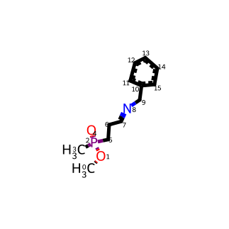 COP(C)(=O)CCC=NCc1ccccc1